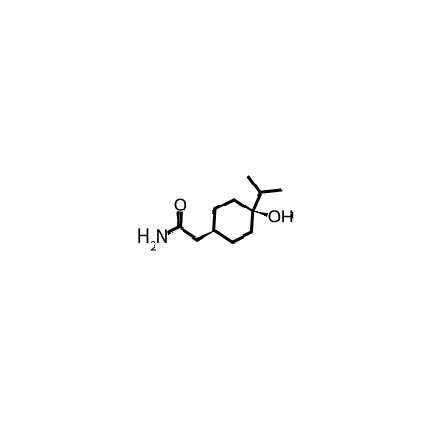 CC(C)[C@]1(O)CC[C@@H](CC(N)=O)CC1